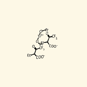 CC(C)[O][Ti+2][O]C(C)C.CCC(C(=O)[O-])C(=O)C(F)(F)F.CCC(C(=O)[O-])C(=O)C(F)(F)F